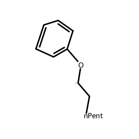 CCCCCC[CH]Oc1ccccc1